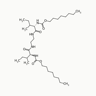 CCCCCCCCOC(=O)N[C@H](C(=O)NCCNC(=O)[C@@H](NC(=O)OCCCCCCCC)C(C)CC)C(C)CC